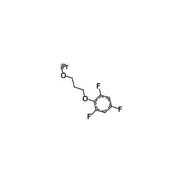 CC(C)OCCCOc1c(F)cc(F)cc1F